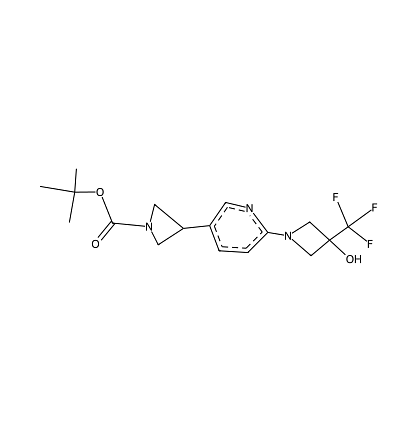 CC(C)(C)OC(=O)N1CC(c2ccc(N3CC(O)(C(F)(F)F)C3)nc2)C1